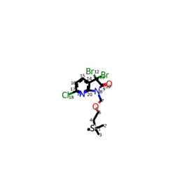 C[Si](C)(C)CCOCN1C(=O)C(Br)(Br)c2ccc(Cl)nc21